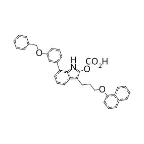 O=C(O)Oc1[nH]c2c(-c3cccc(OCc4ccccc4)c3)cccc2c1CCCOc1cccc2ccccc12